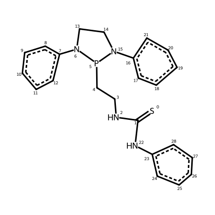 S=C(NCCP1N(c2ccccc2)CCN1c1ccccc1)Nc1ccccc1